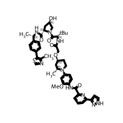 COc1cc(N2CC[C@H](OCC(=O)N[C@H](C(=O)N3C[C@H](O)C[C@H]3C(=O)N[C@@H](C)c3ccc(-c4scnc4C)cc3)C(C)(C)C)C[C@H]2C)ccc1NC(=O)c1cccc(-c2cc[nH]n2)n1